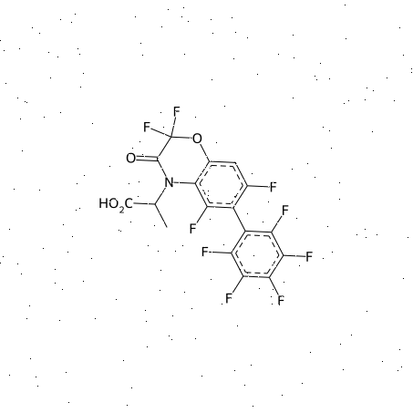 CC(C(=O)O)N1C(=O)C(F)(F)Oc2cc(F)c(-c3c(F)c(F)c(F)c(F)c3F)c(F)c21